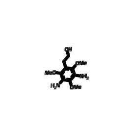 COc1c(N)c(OC)c(CCO)c(OC)c1N